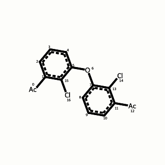 CC(=O)c1cccc(Oc2cccc(C(C)=O)c2Cl)c1Cl